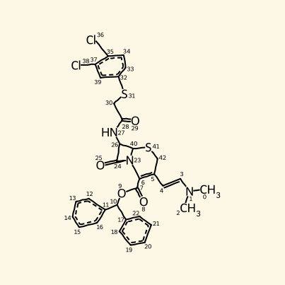 CN(C)/C=C/C1=C(C(=O)OC(c2ccccc2)c2ccccc2)N2C(=O)C(NC(=O)CSc3ccc(Cl)c(Cl)c3)C2SC1